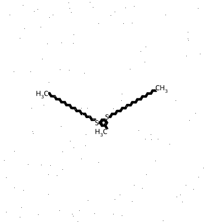 CCCCCCCCCCCCCCCCCCCCSc1cc(CC)cc(SCCCCCCCCCCCCCCCCCCCC)c1